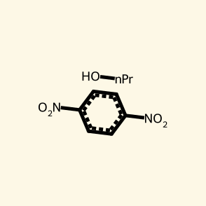 CCCO.O=[N+]([O-])c1ccc([N+](=O)[O-])cc1